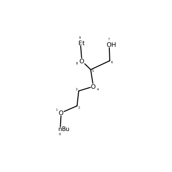 CCCCOCCOC(CO)OCC